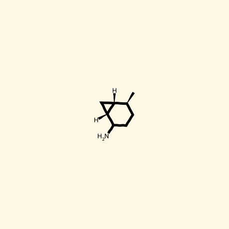 C[C@H]1CCC(N)[C@@H]2C[C@H]12